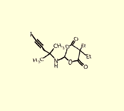 CCC1(CC)C(=O)OC(NC(C)(C)C#CI)OC1=O